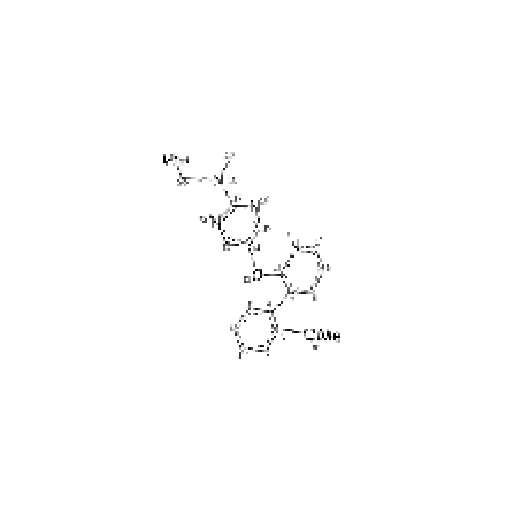 COc1ccccc1-c1cccnc1Oc1cnc(N(C)CC(C)C)nc1